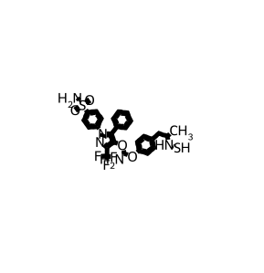 CC(Cc1ccc(OC(N)Oc2c(C(F)(F)F)nn(-c3ccc(S(N)(=O)=O)cc3)c2-c2ccccc2)cc1)NS